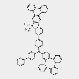 CC1(C)c2cc(-c3ccc(N(c4ccc(-c5ccccc5)cc4)c4ccc5c(c4)-c4ccccc4-c4ccccc4-c4ccccc4-5)cc3)ccc2-c2cc3c4ccccc4c4ccccc4c3cc21